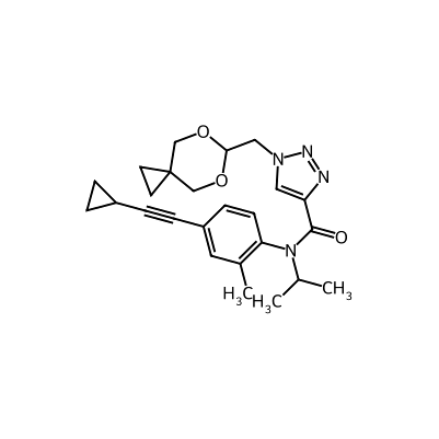 Cc1cc(C#CC2CC2)ccc1N(C(=O)c1cn(CC2OCC3(CC3)CO2)nn1)C(C)C